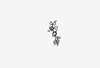 CCOC(=O)c1nn(CC)c(-c2cnc(NCC(F)(F)C(F)(F)F)cc2C)c1Cl